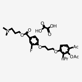 CCCc1c(OCCCOc2ccc(C(=O)OCCCN(C)C)cc2F)ccc(C(C)=O)c1OC(C)=O.O=C(O)C(=O)O